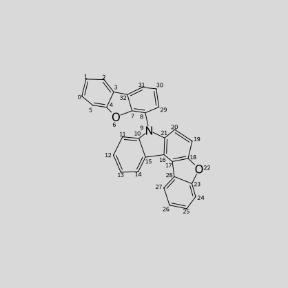 c1ccc2c(c1)oc1c(-n3c4ccccc4c4c5c(ccc43)oc3ccccc35)cccc12